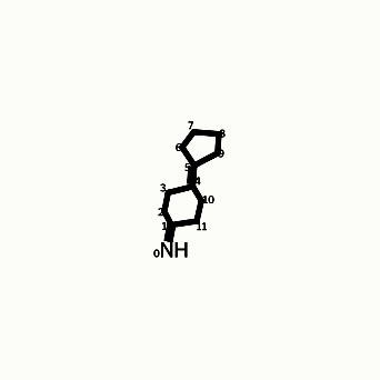 N=C1CCC(=C2CCCC2)CC1